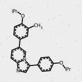 Cc1cc(-c2ccc3ncc(-c4ccc(OC(C)C)cc4)n3c2)ccc1OC(C)C